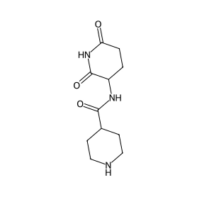 O=C1CCC(NC(=O)C2CCNCC2)C(=O)N1